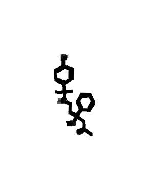 C=C(C)CC(O)(CCNC(C)(C)c1ccc(Br)cc1)c1ccccc1